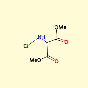 COC(=O)C(NCl)C(=O)OC